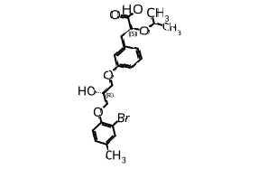 Cc1ccc(OC[C@H](O)COc2cccc(C[C@H](OC(C)C)C(=O)O)c2)c(Br)c1